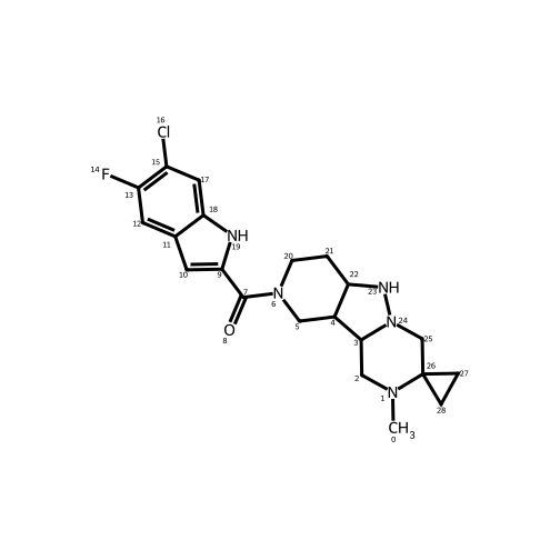 CN1CC2C3CN(C(=O)c4cc5cc(F)c(Cl)cc5[nH]4)CCC3NN2CC12CC2